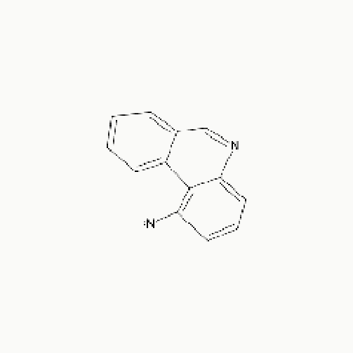 [N]c1cccc2ncc3ccccc3c12